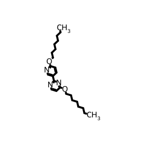 CCCCCCCCOc1ccc(-c2nccc(OCCCCCCCC)n2)cn1